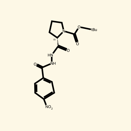 CC(C)(C)OC(=O)N1CCC[C@H]1C(=O)NNC(=O)c1ccc([N+](=O)[O-])cc1